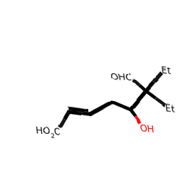 CCC(C=O)(CC)C(O)CC=CC(=O)O